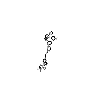 O=C1CCC(n2cnc3cc(C#CCCN4CCN(c5cccc(-c6cnc7ccc(N8CCC[C@@H]8c8cccc(F)c8)nn67)n5)CC4)ccc32)C(=O)N1